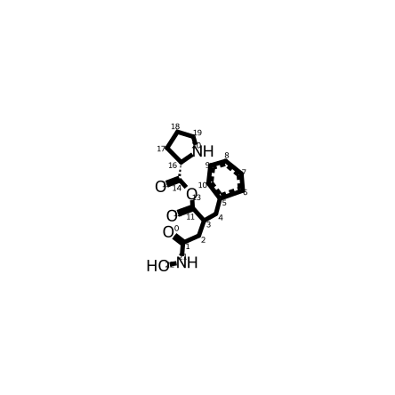 O=C(CC(Cc1ccccc1)C(=O)OC(=O)[C@@H]1CCCN1)NO